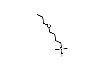 CCCOCCCC[Si](C)(C)F